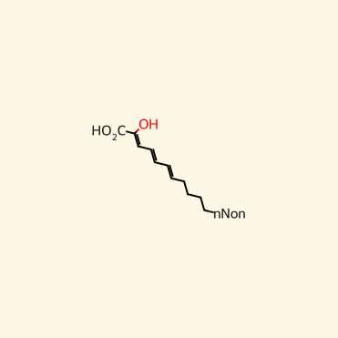 CCCCCCCCCCCCCC=CC=CC=C(O)C(=O)O